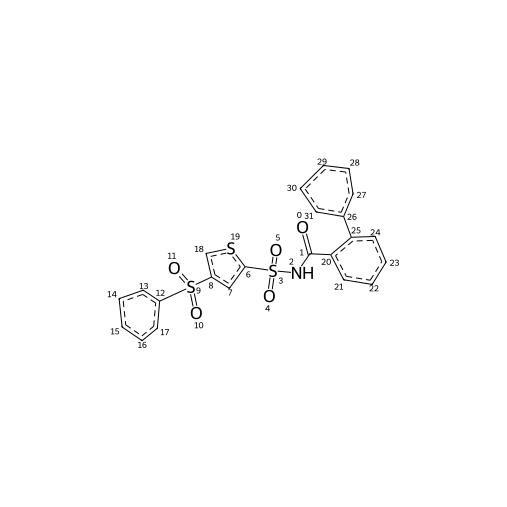 O=C(NS(=O)(=O)c1cc(S(=O)(=O)c2ccccc2)cs1)c1ccccc1-c1ccccc1